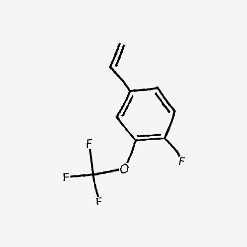 C=Cc1ccc(F)c(OC(F)(F)F)c1